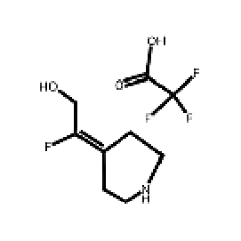 O=C(O)C(F)(F)F.OCC(F)=C1CCNCC1